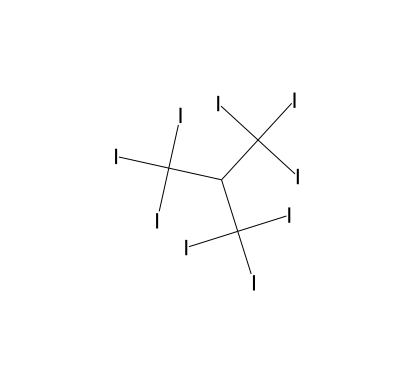 IC(I)(I)C(C(I)(I)I)C(I)(I)I